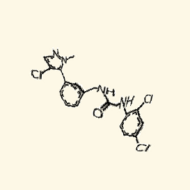 Cn1ncc(Cl)c1-c1cccc(NC(=O)Nc2ccc(Cl)cc2Cl)c1